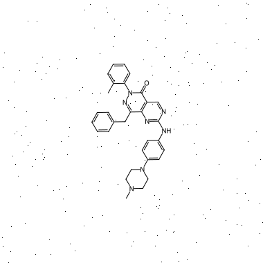 Cc1ccccc1-n1nc(Cc2ccccc2)c2nc(Nc3ccc(N4CCN(C)CC4)cc3)ncc2c1=O